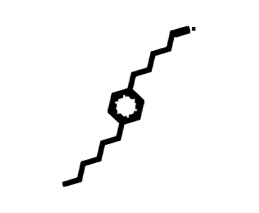 [CH]=CCCCCc1ccc(CCCCCC)cc1